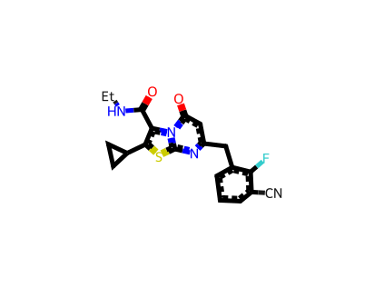 CCNC(=O)c1c(C2CC2)sc2nc(Cc3cccc(C#N)c3F)cc(=O)n12